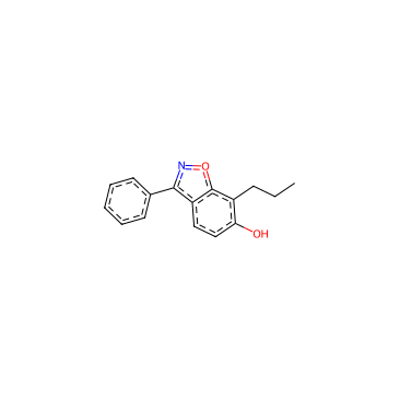 CCCc1c(O)ccc2c(-c3ccccc3)noc12